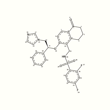 O=C1CCCc2c1ccc(O[C@H](Cn1ccnc1)c1ccccc1)c2CNS(=O)(=O)c1ccc(F)cc1F